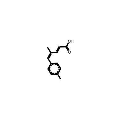 CC(C=CC(=O)O)=Cc1ccc(I)cc1